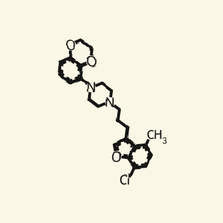 Cc1ccc(Cl)c2occ(CCCN3CCN(c4cccc5c4OCCO5)CC3)c12